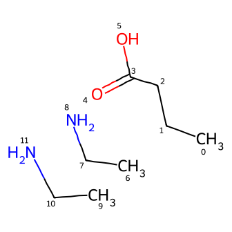 CCCC(=O)O.CCN.CCN